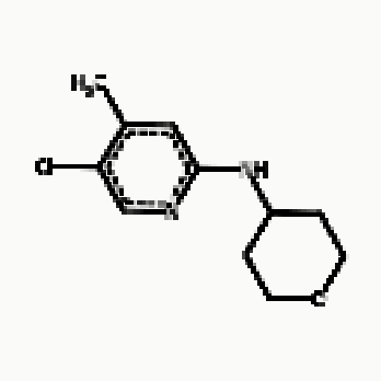 Cc1cc(NC2CCOCC2)ncc1Cl